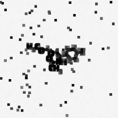 COCOCC(NC(C)=O)c1ccc(F)cc1